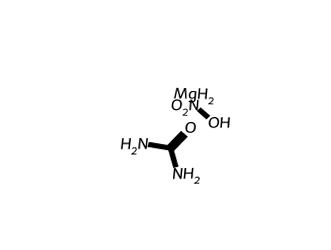 NC(N)=O.O=[N+]([O-])O.[MgH2]